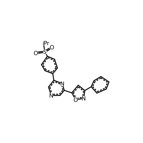 CC(C)S(=O)(=O)c1ccc(-c2cncc(-c3cc(-c4ccccc4)no3)n2)cc1